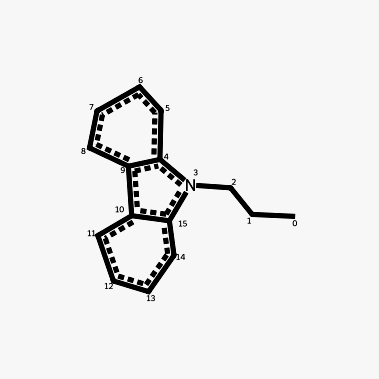 CCCn1c2ccccc2c2ccccc21